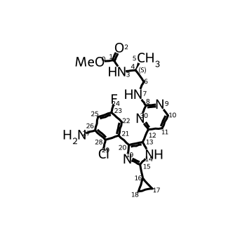 COC(=O)N[C@@H](C)CNc1nccc(-c2[nH]c(C3CC3)nc2-c2cc(F)cc(N)c2Cl)n1